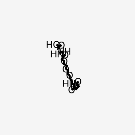 O=C(O)CNNC(=O)COCCOCCOCCNN1C(=O)C=CC1=O